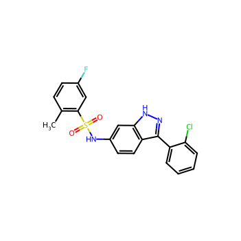 Cc1ccc(F)cc1S(=O)(=O)Nc1ccc2c(-c3ccccc3Cl)n[nH]c2c1